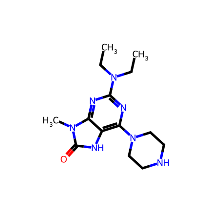 CCN(CC)c1nc(N2CCNCC2)c2[nH]c(=O)n(C)c2n1